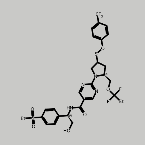 CCC(F)(F)OC[C@@H]1CC(SOc2ccc(C(F)(F)F)cc2)CN1c1ncc(C(=O)N[C@@H](CO)c2ccc(S(=O)(=O)CC)cc2)cn1